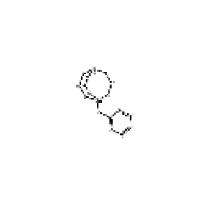 c1ccc([CH2][Sn]23[CH2]CCN(CC[CH2]2)CC[CH2]3)cc1